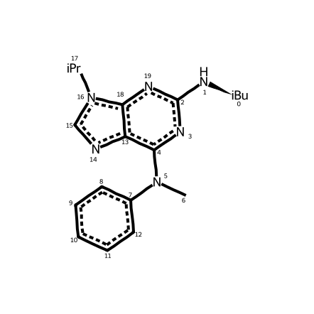 [CH2][C@H](CC)Nc1nc(N(C)c2ccccc2)c2ncn(C(C)C)c2n1